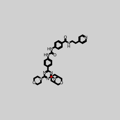 O=C(Nc1ccc(C(=O)NCCc2ccncc2)cc1)Nc1ccc(-c2nc(N3CCOCC3)nc(N3C4COCC3COC4)n2)cc1